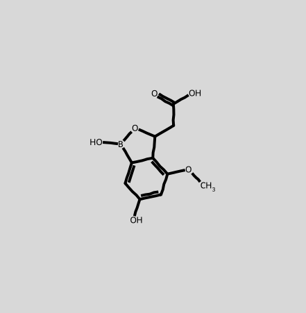 COc1cc(O)cc2c1C(CC(=O)O)OB2O